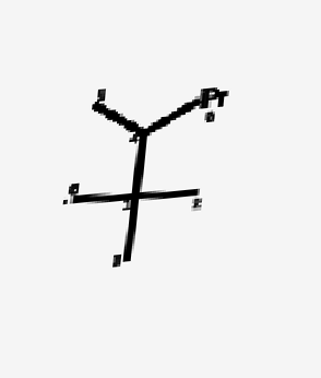 [CH2]C(C)(C)C(C)C(C)C